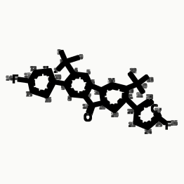 CC(C)(C)c1cc2c(cc1-c1ccc(F)cc1)C(=O)c1cc(-c3ccc(F)cc3)c(C(C)(C)C)cc1-2